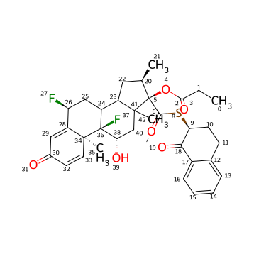 CCC(=O)O[C@]1(C(=O)S[C@H]2CCc3ccccc3C2=O)[C@H](C)CC2C3C[C@H](F)C4=CC(=O)C=C[C@]4(C)[C@@]3(F)[C@@H](O)CC21C